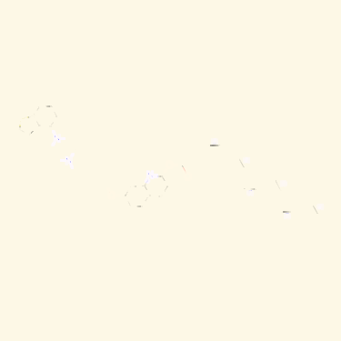 CC/C=C\C/C=C\C/C=C\C/C=C\C/C=C\C/C=C\CCC(=O)Oc1ccc2ccc(OCCCCN3CCN(c4cccc5sccc45)CC3)cc2n1